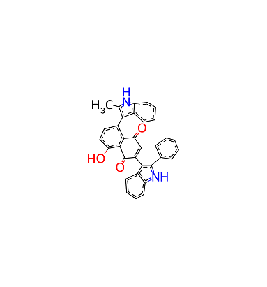 Cc1[nH]c2ccccc2c1-c1ccc(O)c2c1C(=O)C=C(c1c(-c3ccccc3)[nH]c3ccccc13)C2=O